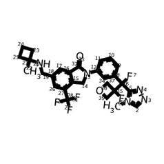 Cn1cnnc1C(F)(c1cccc(N2Cc3c(cc(CNC4(C)CCC4)cc3C(F)(F)F)C2=O)c1)C1(F)COC1